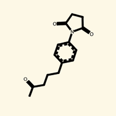 CC(=O)CCCc1ccc(N2C(=O)CCC2=O)cc1